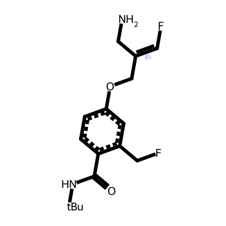 CC(C)(C)NC(=O)c1ccc(OC/C(=C/F)CN)cc1CF